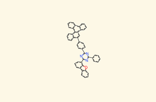 c1ccc(-c2nc(-c3ccc(-c4cc5c6ccccc6c6ccccc6c5c5ccccc45)cc3)nc(-c3cccc4c3oc3ccccc34)n2)cc1